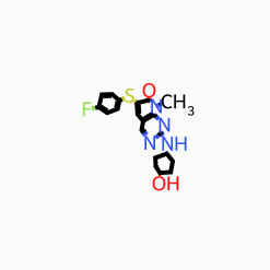 Cn1c(=O)c(Sc2ccc(F)cc2)cc2cnc(N[C@H]3CC[C@H](O)CC3)nc21